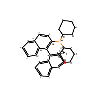 Cc1ccc2ccccc2c1-c1c(P(C2CCCCC2)C2CCCCC2)ccc2ccccc12